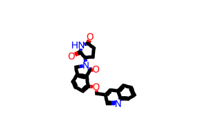 O=C1CCC(N2Cc3cccc(OCc4cnc5ccccc5c4)c3C2=O)C(=O)N1